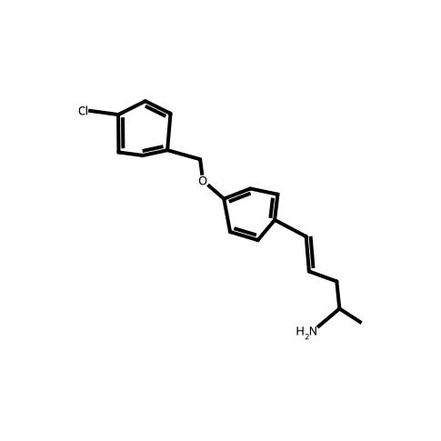 CC(N)CC=Cc1ccc(OCc2ccc(Cl)cc2)cc1